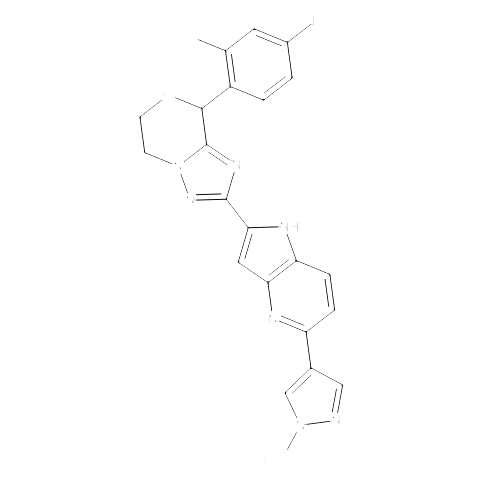 Cc1cc(F)ccc1C1OCCn2nc(-c3cc4nc(-c5cnn(C)c5)ccc4[nH]3)nc21